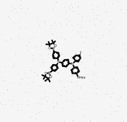 CCCCCCc1ccc(N(c2ccc(F)cc2)c2ccc(N(c3ccc(B4OC(C)(C)C(C)(C)O4)cc3)c3ccc(B4OC(C)(C)C(C)(C)O4)cc3)cc2)cc1